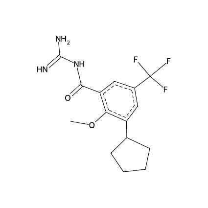 COc1c(C(=O)NC(=N)N)cc(C(F)(F)F)cc1C1CCCC1